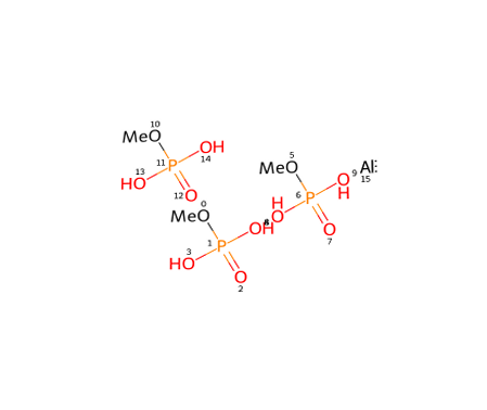 COP(=O)(O)O.COP(=O)(O)O.COP(=O)(O)O.[Al]